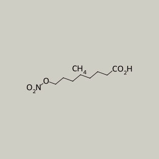 C.O=C(O)CCCCCCCO[N+](=O)[O-]